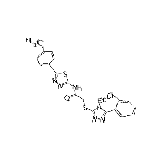 CCn1c(SCC(=O)Nc2nnc(-c3ccc(C)cc3)s2)nnc1-c1ccccc1Cl